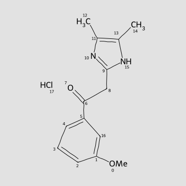 COc1cccc(C(=O)Cc2nc(C)c(C)[nH]2)c1.Cl